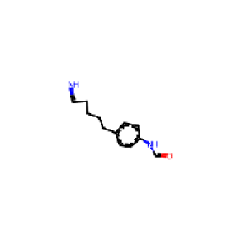 N=CCCCCc1ccc(NC=O)cc1